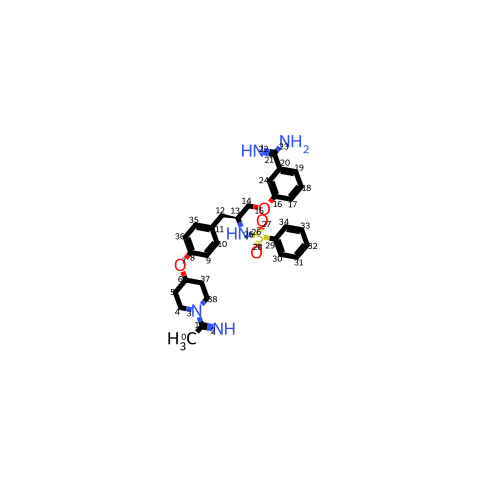 CC(=N)N1CCC(Oc2ccc(C[C@@H](COc3cccc(C(=N)N)c3)NS(=O)(=O)c3ccccc3)cc2)CC1